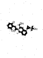 C[C@H]1c2cccc([C@@H]3C[C@@H]3C(C)(C)O)c2C[C@H](CO)N1C(=O)Cc1c(Cl)cccc1Cl